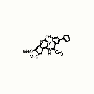 COc1cc2nc(C)nc(N[C@H](C)c3cccc(C4=CCCC4)c3)c2cc1OC